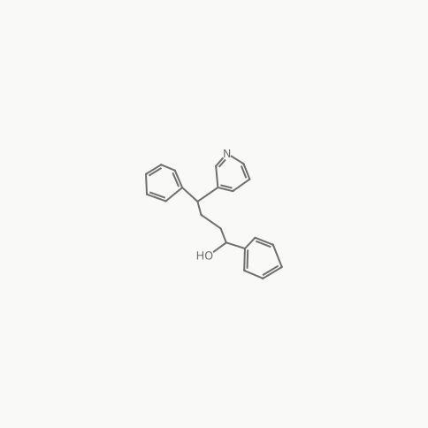 OC(CCC(c1ccccc1)c1cccnc1)c1ccccc1